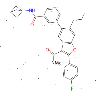 CNC(=O)c1c(-c2ccc(F)cc2)oc2cc(CCI)c(-c3cccc(C(=O)NC45CC(C4)C5)c3)cc12